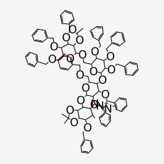 CC(=O)OC1C(OCC2OC(OC3C(COCc4ccccc4)OC(OC4C(OCc5ccccc5)C(C)C(OCc5ccccc5)C5OC(C)(C)OC45)C(N=[N+]=[N-])C3OCc3ccccc3)C(OCc3ccccc3)C(OCc3ccccc3)C2OCc2ccccc2)OC(COCc2ccccc2)C(OCc2ccccc2)C1OCc1ccccc1